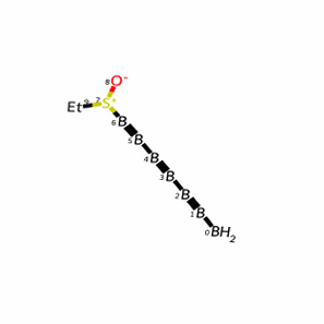 BB=BB=BB=B[S+]([O-])CC